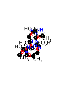 Cc1cccc(COc2ccccc2CN(CC[C@H](N)C(=O)O)Cc2ccncc2OCc2cccc(Cc3cc(C)cc(COc4ccccc4CN(CC[C@H](N)C(=O)O)Cc4cccnc4OCc4cccc(Cc5cc(C)cc(COc6ccccc6CN(CC[C@H](N)C(=O)O)Cc6c(C#N)cccc6OCc6cccc(C)c6)c5)c4)c3)c2)c1